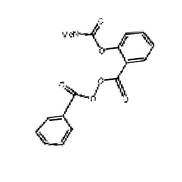 CNC(=O)Oc1ccccc1C(=O)OOC(=O)c1ccccc1